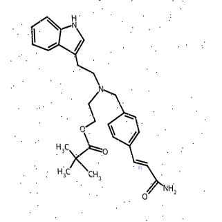 CC(C)(C)C(=O)OCCN(CCc1c[nH]c2ccccc12)Cc1ccc(/C=C/C(N)=O)cc1